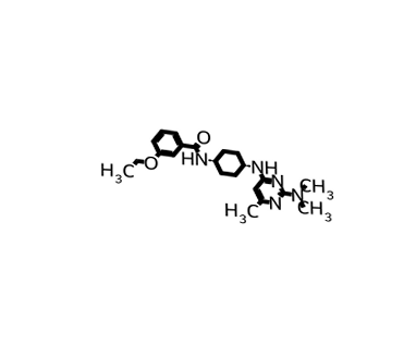 CCOc1cccc(C(=O)N[C@H]2CC[C@@H](Nc3cc(C)nc(N(C)C)n3)CC2)c1